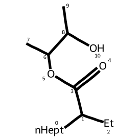 CCCCCCCC(CC)C(=O)OC(C)C(C)O